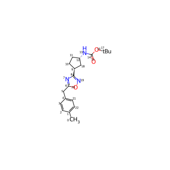 Cc1ccc(Cc2nc([C@H]3CC[C@H](NC(=O)OC(C)(C)C)C3)no2)cc1